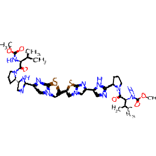 COC(=O)N[C@H](C(=O)N1CCCC1c1ncc(-c2cn3cc(-c4cn5cc(C6=NCC([C@@H]7CCCN7C(=O)[C@@H](NC(=O)OC)C(C)C)N6)nc5s4)sc3n2)[nH]1)C(C)C